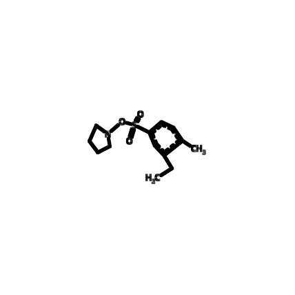 CCc1cc(S(=O)(=O)ON2CCCC2)ccc1C